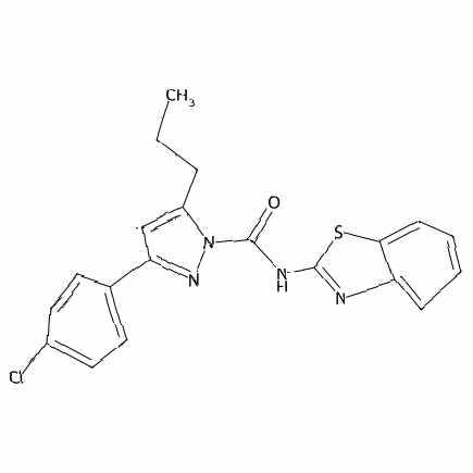 CCCc1[c]c(-c2ccc(Cl)cc2)nn1C(=O)Nc1nc2ccccc2s1